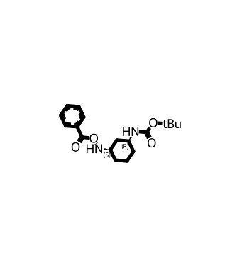 CC(C)(C)OC(=O)N[C@@H]1CCC[C@H](NOC(=O)c2ccccc2)C1